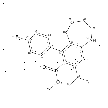 COC(=O)c1c(C(C)C)nc2c(c1-c1ccc(F)cc1)COCCN2